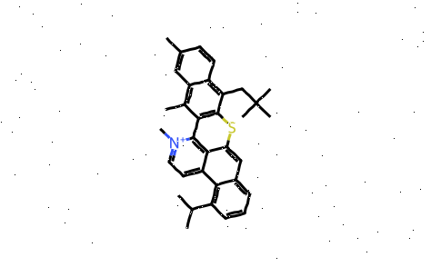 Cc1ccc2c(CC(C)(C)C)c3c(c(C)c2c1)-c1c2c(cc4cccc(C(C)C)c4c2cc[n+]1C)S3